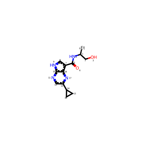 CCC(CO)NC(=O)c1c[nH]c2ncc(C3CC3)nc12